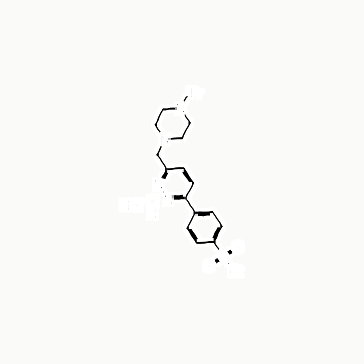 CCS(=O)(=O)c1ccc(-c2ccc(CN3CCN(C(C)C)CC3)nn2)cc1.Cl.Cl